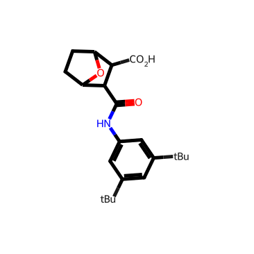 CC(C)(C)c1cc(NC(=O)C2C3CCC(O3)C2C(=O)O)cc(C(C)(C)C)c1